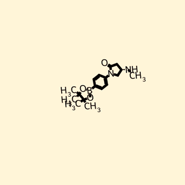 CN[C@H]1CC(=O)N(c2ccc(B3OC(C)(C)C(C)(C)O3)cc2)C1